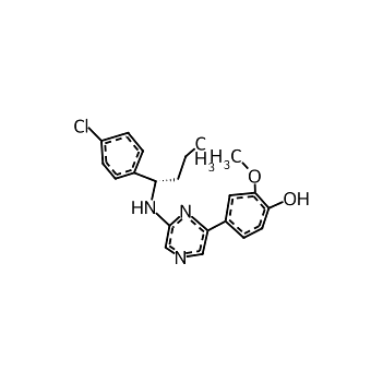 CCC[C@H](Nc1cncc(-c2ccc(O)c(OC)c2)n1)c1ccc(Cl)cc1